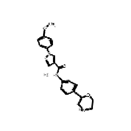 COc1ccc(-n2cc(C(=O)Nc3ccc(C4CNCCO4)cc3)cn2)cc1.Cl